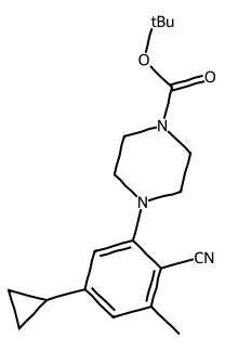 Cc1cc(C2CC2)cc(N2CCN(C(=O)OC(C)(C)C)CC2)c1C#N